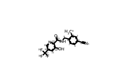 Cc1cc(C#N)ccc1CNC(=O)c1ncc(C(F)(F)F)cc1O